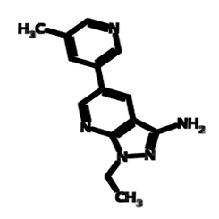 CCn1nc(N)c2cc(-c3cncc(C)c3)cnc21